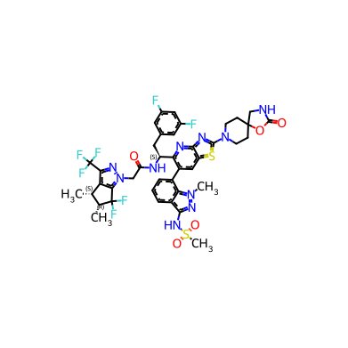 C[C@@H]1c2c(C(F)(F)F)nn(CC(=O)N[C@@H](Cc3cc(F)cc(F)c3)c3nc4nc(N5CCC6(CC5)CNC(=O)O6)sc4cc3-c3cccc4c(NS(C)(=O)=O)nn(C)c34)c2C(F)(F)[C@@H]1C